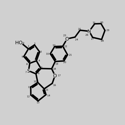 Oc1ccc2c3c(sc2c1)-c1ccccc1COC3c1ccc(OCCN2CCCCC2)cc1